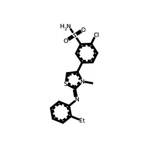 CCc1ccccc1N=c1scc(-c2ccc(Cl)c(S(N)(=O)=O)c2)n1C